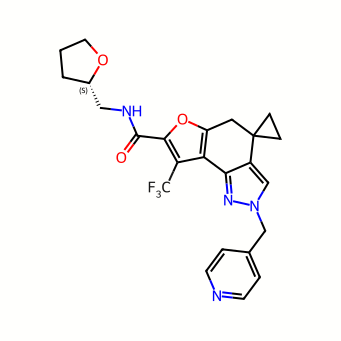 O=C(NC[C@@H]1CCCO1)c1oc2c(c1C(F)(F)F)-c1nn(Cc3ccncc3)cc1C1(CC1)C2